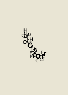 O=C(NC1CONC1=O)c1ccc(N2CCC(c3cc(Cl)c(Cl)c(C(F)(F)F)c3)(C(F)(F)F)C2)cn1